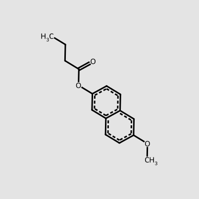 CCCC(=O)Oc1ccc2cc(OC)ccc2c1